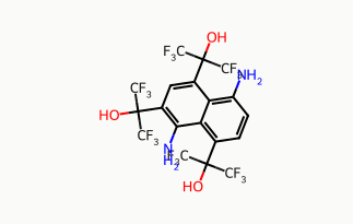 Nc1ccc(C(O)(C(F)(F)F)C(F)(F)F)c2c(N)c(C(O)(C(F)(F)F)C(F)(F)F)cc(C(O)(C(F)(F)F)C(F)(F)F)c12